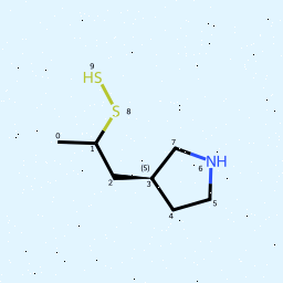 CC(C[C@@H]1CCNC1)SS